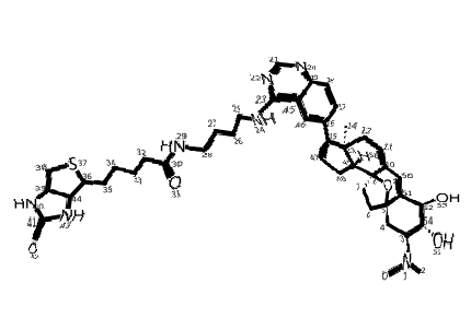 CN(C)[C@H]1C[C@@]23CC[C@@]4(O2)C(=CC[C@]2(C)C(c5ccc6ncnc(NCCCCNC(=O)CCCCC7SCC8NC(=O)NC87)c6c5)=CC[C@H]24)C=C3[C@@H](O)[C@@H]1O